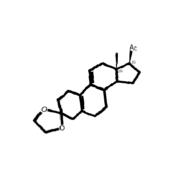 CC(=O)[C@H]1CCC2C3CCC4=C(CCC5(C4)OCCO5)C3=CC[C@@]21C